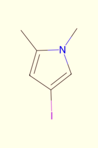 Cc1cc(I)cn1C